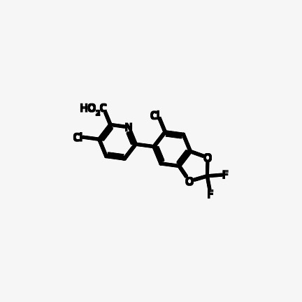 O=C(O)c1nc(-c2cc3c(cc2Cl)OC(F)(F)O3)ccc1Cl